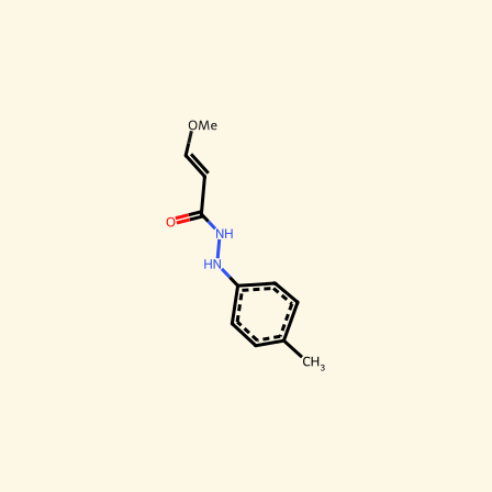 COC=CC(=O)NNc1ccc(C)cc1